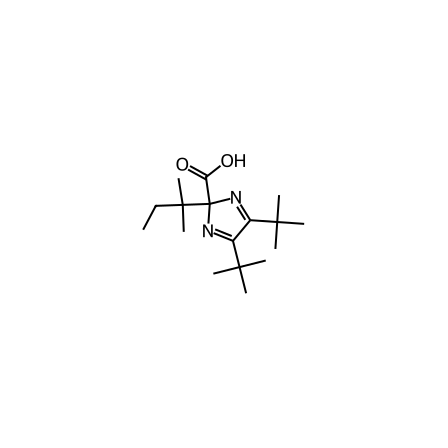 CCC(C)(C)C1(C(=O)O)N=C(C(C)(C)C)C(C(C)(C)C)=N1